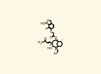 CC(=O)CC[C@]12CC[C@@H](C)[C@](C)(C1)[C@H](OC(=O)COc1ccc3c(c1F)B(O)OC3)C[C@@](C)(/C=C/C(N)=O)[C@@H](O)[C@@H]2C